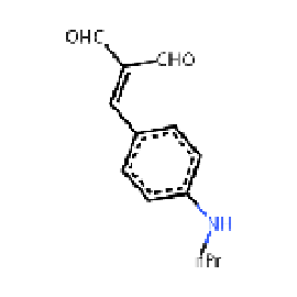 CCCNc1ccc(C=C(C=O)C=O)cc1